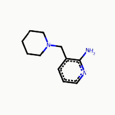 Nc1ncccc1CN1CCCCC1